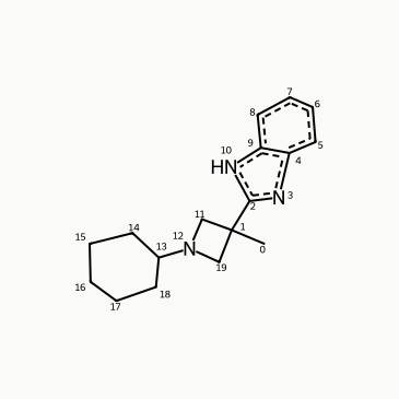 CC1(c2nc3ccccc3[nH]2)CN(C2CCCCC2)C1